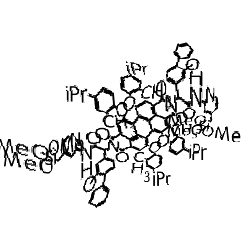 CO[Si](Cc1ccnc(NC(=O)C(c2ccc3c(c2)oc2ccccc23)N2C(=O)c3cc(Oc4ccc(C(C)C)cc4C)c4c5c(Oc6ccc(C(C)C)cc6C)cc6c7c(cc(Oc8ccc(C(C)C)cc8C)c(c8c(Oc9ccc(C(C)C)cc9C)cc(c3c48)C2=O)c75)C(=O)N(C(C(=O)Nc2cc(C[Si](OC)(OC)OC)ccn2)c2ccc3c(c2)oc2ccccc23)C6=O)c1)(OC)OC